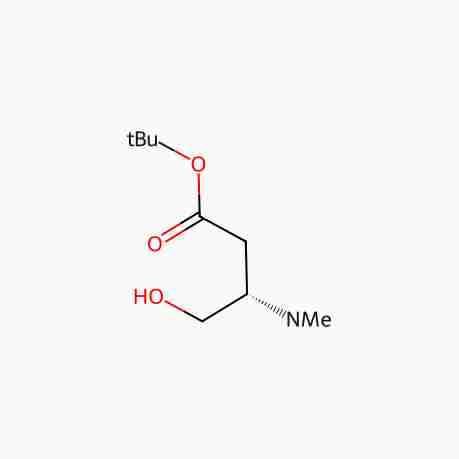 CN[C@H](CO)CC(=O)OC(C)(C)C